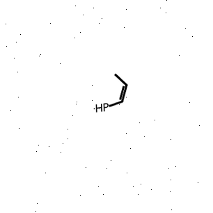 C/C=C\[PH]